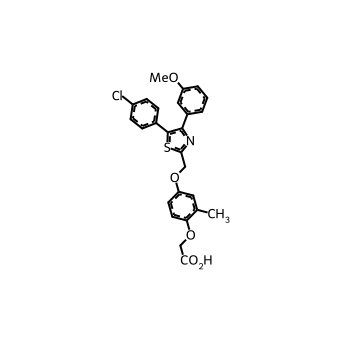 COc1cccc(-c2nc(COc3ccc(OCC(=O)O)c(C)c3)sc2-c2ccc(Cl)cc2)c1